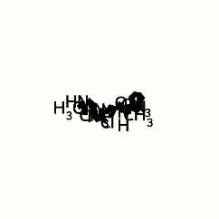 CC1NCCN(c2ncc(Cl)c(N3CC(C(=O)NC(C)(C)c4cnc5ccccn45)C3)n2)C1C